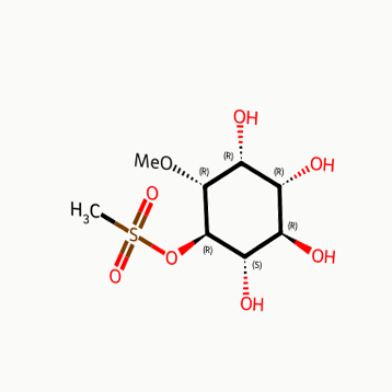 CO[C@@H]1[C@H](O)[C@H](O)[C@@H](O)[C@H](O)[C@H]1OS(C)(=O)=O